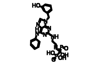 O=[PH2]C(O)(CCCNc1nc(Nc2ccccc2)c2ncn(Cc3cccc(O)c3)c2n1)P(=O)(O)O